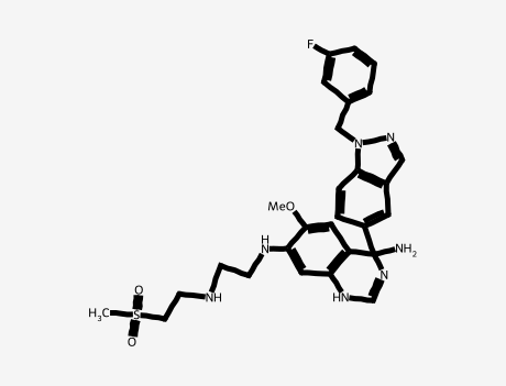 COc1cc2c(cc1NCCNCCS(C)(=O)=O)NC=NC2(N)c1ccc2c(cnn2Cc2cccc(F)c2)c1